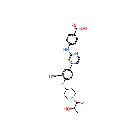 C[C@@H](O)C(=O)N1CCC(Oc2ccc(-c3ccnc(Nc4ccc(C(=O)O)cc4)n3)cc2C#N)CC1